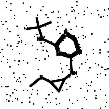 CSC1CC1Nc1ncnc(NC(C)(C)C)n1